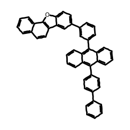 c1ccc(-c2ccc(-c3c4ccccc4c(-c4cccc(-c5ccc6oc7c8ccccc8ccc7c6c5)c4)c4ccccc34)cc2)cc1